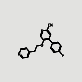 N#Cc1cc(-c2ccc(F)cc2)c(OCCc2ccncc2)cn1